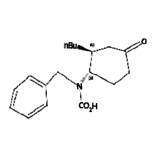 CCCC[C@H]1CC(=O)CC[C@@H]1N(Cc1ccccc1)C(=O)O